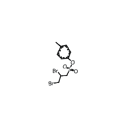 Cc1ccc(OS(=O)(=O)CC(Br)CBr)cc1